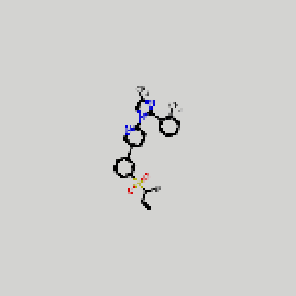 C=CC(C(C)C)S(=O)(=O)c1cccc(-c2ccc(-n3cc(C(F)(F)F)nc3-c3ccccc3C(F)(F)F)nc2)c1